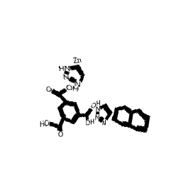 O=C(O)c1cc(C(=O)O)cc(C(=O)O)c1.[Zn].c1c[nH]nn1.c1c[nH]nn1.c1ccc2ccccc2c1